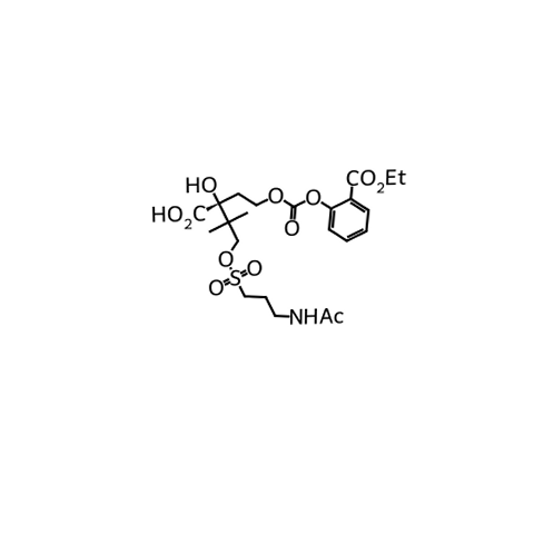 CCOC(=O)c1ccccc1OC(=O)OCC[C@](O)(C(=O)O)C(C)(C)COS(=O)(=O)CCCNC(C)=O